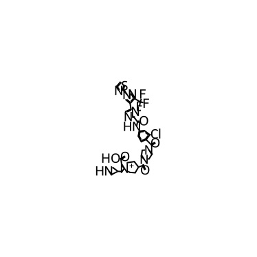 Cn1c(-c2cn(-c3nccs3)nc2C(F)(F)F)cnc1C(=O)Nc1ccc(C(=O)N2CCN(C(=O)C3CC[N+](CC(=O)O)(CC4CNC4)CC3)CC2)c(Cl)c1